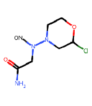 NC(=O)CN(N=O)N1CCOC(Cl)C1